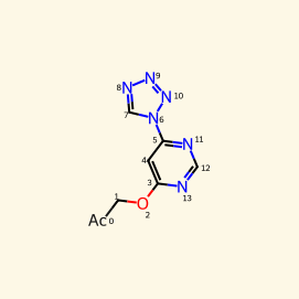 CC(=O)COc1cc(-n2cnnn2)ncn1